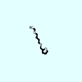 N#CCOCCCCOCC1CCCO1